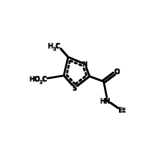 CCNC(=O)c1nc(C)c(C(=O)O)s1